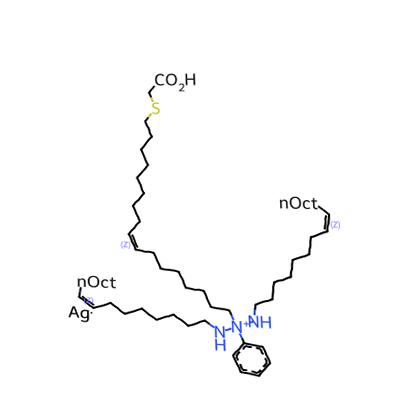 CCCCCCCC/C=C\CCCCCCCN[N+](CCCCCCC/C=C\CCCCCCCCSCC(=O)O)(NCCCCCCC/C=C\CCCCCCCC)c1ccccc1.[Ag]